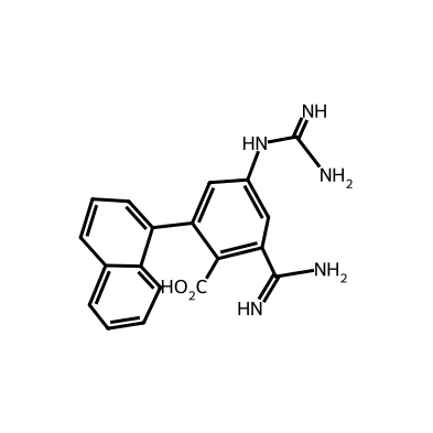 N=C(N)Nc1cc(C(=N)N)c(C(=O)O)c(-c2cccc3ccccc23)c1